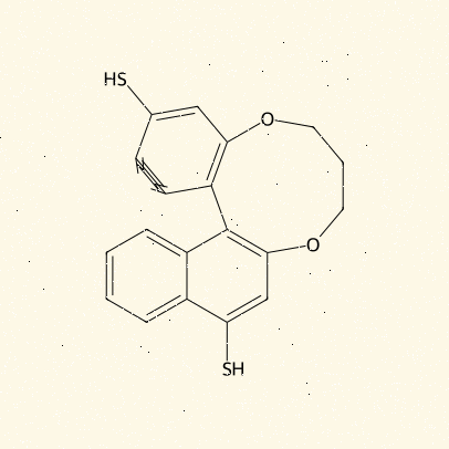 Sc1cc2c(c3ccccc13)-c1c(cc(S)c3ccccc13)OCCCO2